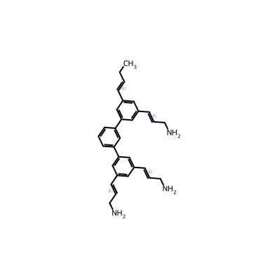 CC/C=C/c1cc(/C=C/CN)cc(-c2cccc(-c3cc(/C=C/CN)cc(/C=C/CN)c3)c2)c1